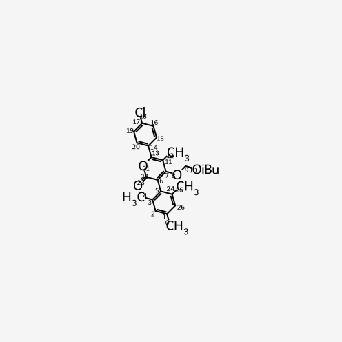 Cc1cc(C)c(-c2c(OCOCC(C)C)c(C)c(-c3ccc(Cl)cc3)oc2=O)c(C)c1